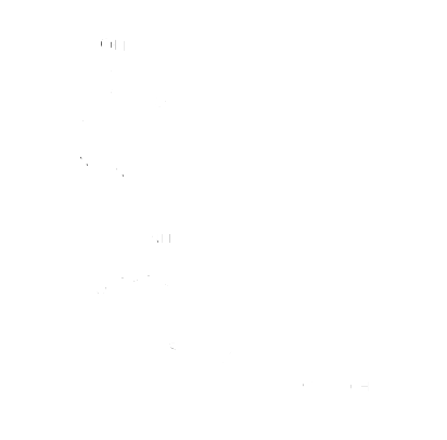 COCC1C=C(C(=O)Nc2ccn(CC(=O)O)n2)SC1